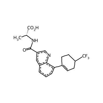 C[C@@H](NC(=O)c1cnc2c(C3=CCC(C(F)(F)F)CC3)cccc2c1)C(=O)O